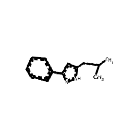 CC(C)Cc1cc(-c2ccccc2)n[nH]1